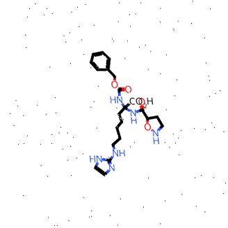 O=C(NC(CCCCCNc1ncc[nH]1)(NC(=O)C1CCNO1)C(=O)O)OCc1ccccc1